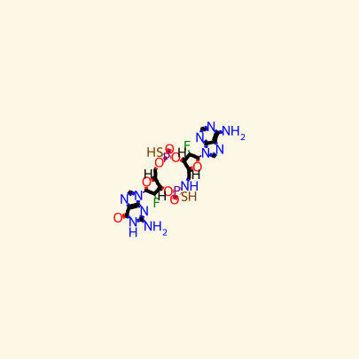 Nc1nc2c(ncn2[C@@H]2O[C@@H]3COP(=O)(S)O[C@@H]4[C@H](F)[C@H](n5cnc6c(N)ncnc65)O[C@@H]4CNP(=O)(S)O[C@@H]3[C@@H]2F)c(=O)[nH]1